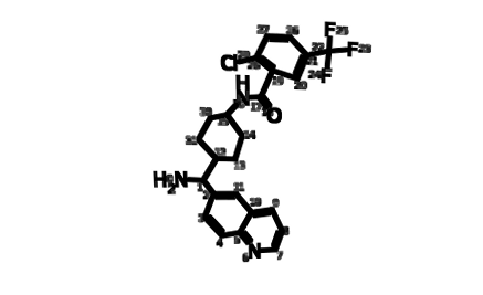 NC(c1ccc2ncccc2c1)C1CCC(NC(=O)c2cc(C(F)(F)F)ccc2Cl)CC1